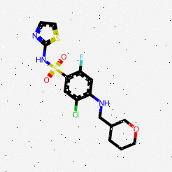 O=S(=O)(Nc1nccs1)c1cc(Cl)c(NCC2CCCOC2)cc1F